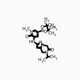 CC(C)N1Cc2cc(Nc3cc(B4OC(C)(C)C(C)(C)O4)cn(C)c3=O)nn2CC1=O